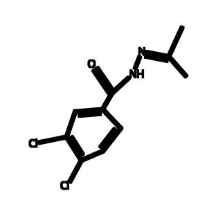 CC(C)=NNC(=O)c1ccc(Cl)c(Cl)c1